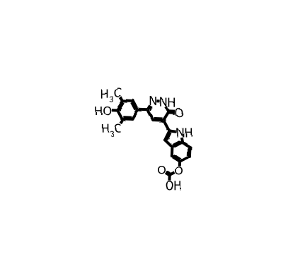 Cc1cc(-c2cc(-c3cc4cc(OC(=O)O)ccc4[nH]3)c(=O)[nH]n2)cc(C)c1O